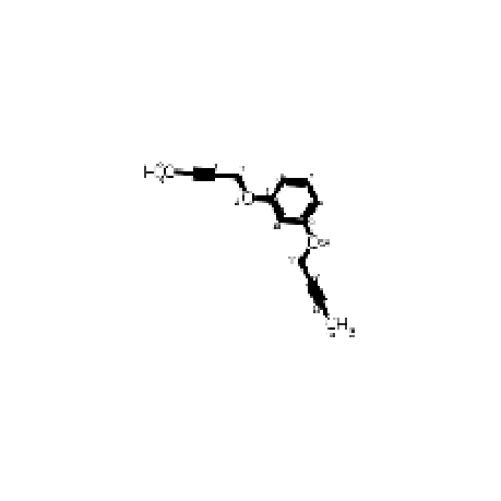 CC#CCOc1[c]ccc(OCC#CC)c1